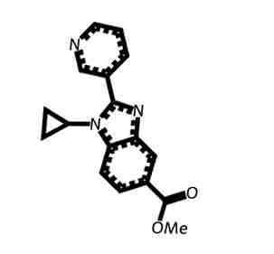 COC(=O)c1ccc2c(c1)nc(-c1cccnc1)n2C1CC1